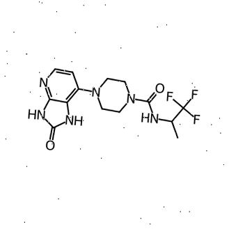 CC(NC(=O)N1CCN(c2ccnc3[nH]c(=O)[nH]c23)CC1)C(F)(F)F